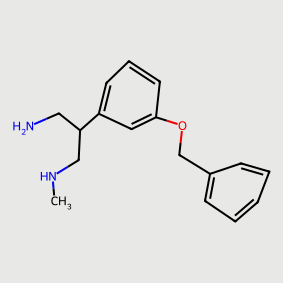 CNCC(CN)c1cccc(OCc2ccccc2)c1